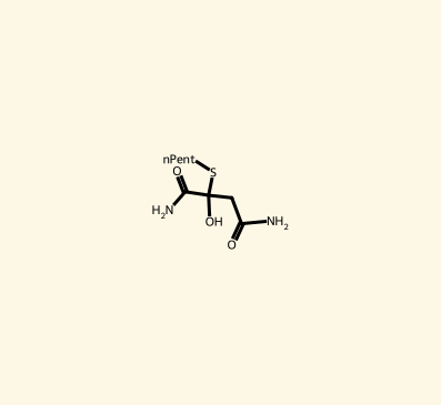 CCCCCSC(O)(CC(N)=O)C(N)=O